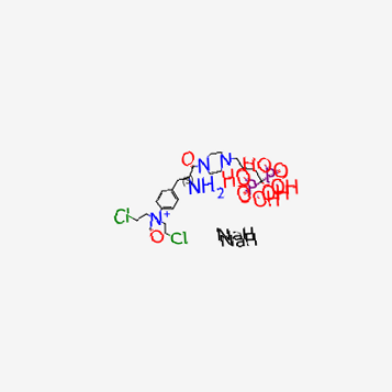 N[C@@H](Cc1ccc([N+](C=O)(CCCl)CCCl)cc1)C(=O)N1CCN(CCCC(O)(P(=O)(O)O)P(=O)(O)O)CC1.[NaH].[NaH]